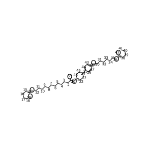 O=C(CCCCCCCCCCCOC1CCCCO1)OC1CCC(c2ccc(OCCCCCCOC3CCCCO3)cc2)CC1